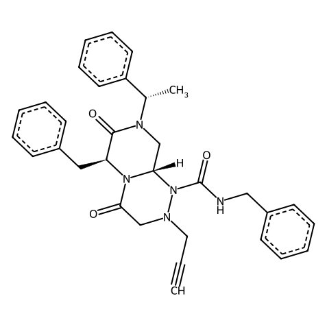 C#CCN1CC(=O)N2[C@@H](Cc3ccccc3)C(=O)N([C@@H](C)c3ccccc3)C[C@@H]2N1C(=O)NCc1ccccc1